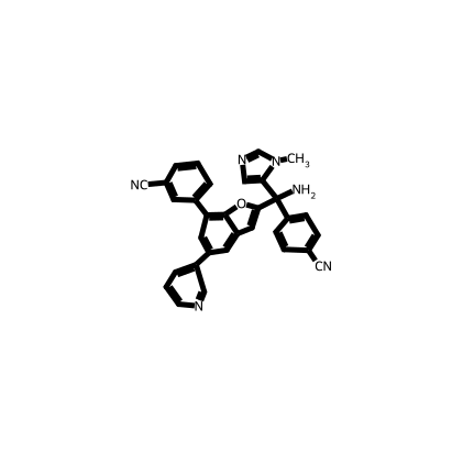 Cn1cncc1C(N)(c1ccc(C#N)cc1)c1cc2cc(-c3cccnc3)cc(-c3cccc(C#N)c3)c2o1